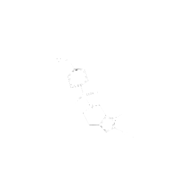 COc1ccc(S(=O)(=O)N2CCc3cc(C(=O)O)n(C)c3C2)cc1